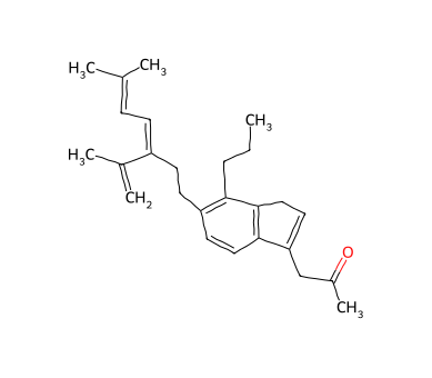 C=C(C)/C(=C\C=C(C)C)CCc1ccc2c(c1CCC)CC=C2CC(C)=O